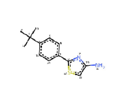 CC(C)(C)c1ccc(-c2nc(N)cs2)cc1